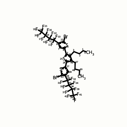 CCCCc1c(-c2cc(C(F)(F)C(F)(F)C(F)(F)C(F)(F)F)c(Br)s2)sc(-c2cc(C(F)(F)C(F)(F)C(F)(F)C(F)(F)F)c(Br)s2)c1CCCC